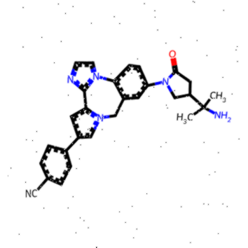 CC(C)(N)C1CC(=O)N(c2ccc3c(c2)Cn2cc(-c4ccc(C#N)cc4)cc2-c2nccn2-3)C1